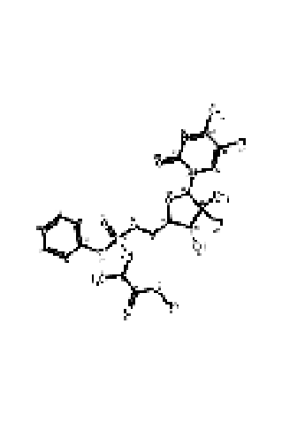 CC(C)OC(=O)[C@@H](C)N[P@](=O)(OC[C@H]1O[C@@H](n2cc(Cl)c(N)nc2=O)[C@](C)(Cl)[C@@H]1O)Oc1ccccc1